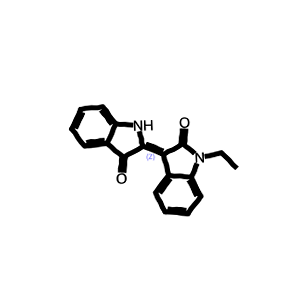 CCN1C(=O)/C(=C2\Nc3ccccc3C2=O)c2ccccc21